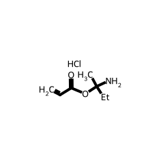 C=CC(=O)OC(C)(N)CC.Cl